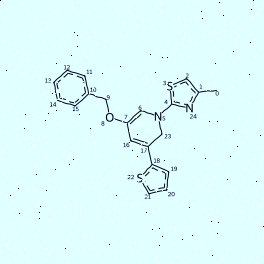 Cc1csc(N2C=C(OCc3ccccc3)C=C(c3cccs3)C2)n1